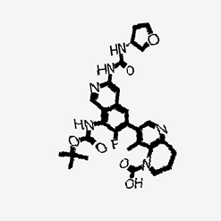 Cc1c(-c2cc3cc(NC(=O)N[C@@H]4CCOC4)ncc3c(NC(=O)OC(C)(C)C)c2F)cnc2c1N(C(=O)O)CCC2